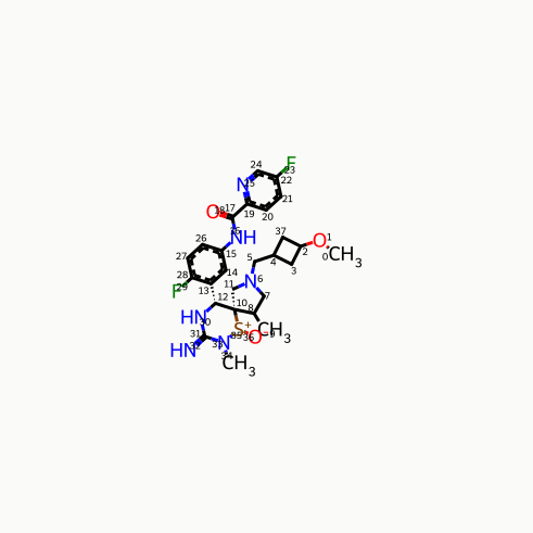 COC1CC(CN2CC(C)[C@]3(C2)[C@@H](c2cc(NC(=O)c4ccc(F)cn4)ccc2F)NC(=N)N(C)[S+]3[O-])C1